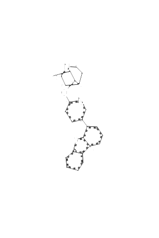 CC1C(Oc2ccc(-c3cccc4c3sc3ccccc34)cn2)C2CCN1CC2